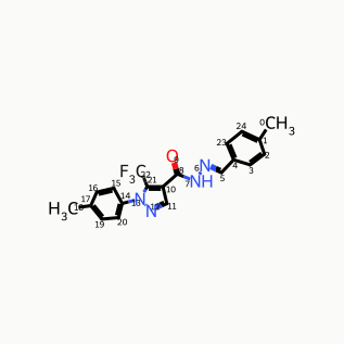 Cc1ccc(C=NNC(=O)c2cnn(-c3ccc(C)cc3)c2C(F)(F)F)cc1